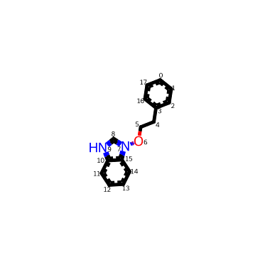 c1ccc(CCO[n+]2c[nH]c3ccccc32)cc1